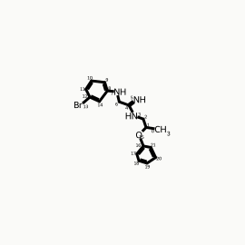 CC(CNC(=N)CNc1cccc(Br)c1)Oc1ccccc1